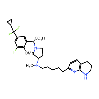 COc1c(F)cc(C(F)(F)C2CC2)cc1[C@H](C(=O)O)N1CC[C@@H](N(C)CCCCCc2ccc3c(n2)NCCC3)C1